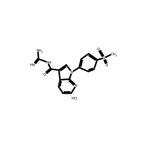 CS(=O)(=O)c1ccc(-n2cc(C(=O)NC(=N)N)c3cccnc32)cc1.Cl